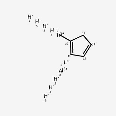 [Al+3].[H-].[H-].[H-].[H-].[H-].[H-].[H-].[Li+].[Ti+3][C]1=CC=CC1